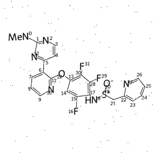 CNc1nccc(-c2cccnc2Oc2cc(F)c(N[S+]([O-])Cc3ccccn3)c(F)c2F)n1